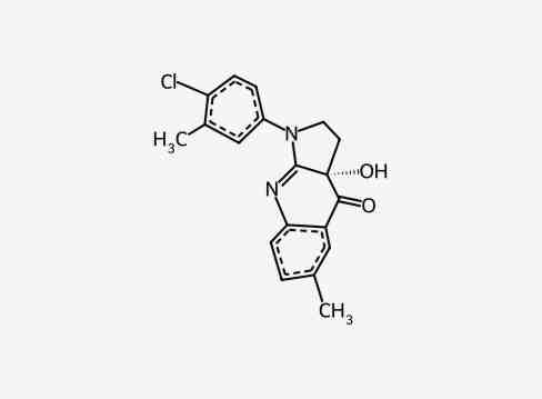 Cc1ccc2c(c1)C(=O)[C@]1(O)CCN(c3ccc(Cl)c(C)c3)C1=N2